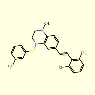 CN1CCN(Sc2cccc(C(F)(F)F)c2)c2cc(/C=C/c3c(Cl)cccc3C(F)(F)F)ccc21